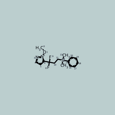 COn1nccc1C(F)(F)CC[Si](C)(C)c1ccccc1